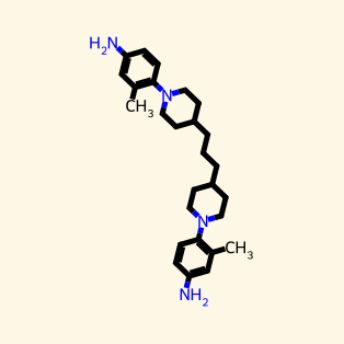 Cc1cc(N)ccc1N1CCC(CCCC2CCN(c3ccc(N)cc3C)CC2)CC1